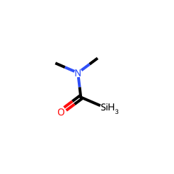 CN(C)C(=O)[SiH3]